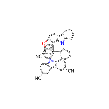 N#Cc1ccc2c(c1)c1cc(C#N)ccc1n2-c1c(C#N)cccc1-c1ccccc1-n1c2ccccc2c2ccc3oc4ccccc4c3c21